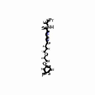 CC(C)C(C)NC(=S)/C=C/C=C/CCCCOCCOc1cccc(F)c1